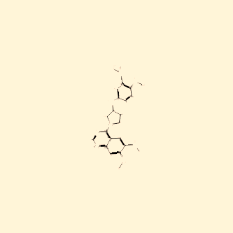 COc1ccc(OC2CCN(c3ncnc4cc(OC)c(OC)cc34)C2)cc1OC